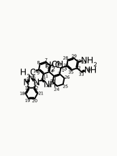 C=C(C1=C(c2c(C)ccc(C)c2C(=N)n2nnc3ccccc32)CCCC1)c1ccc(N)c(C=N)c1